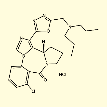 CCCN(CCC)Cc1nnc(-c2ncn3c2[C@@H]2CCCN2C(=O)c2c(Cl)cccc2-3)o1.Cl